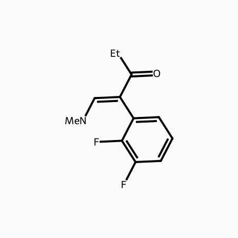 CCC(=O)/C(=C/NC)c1cccc(F)c1F